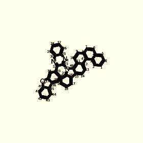 c1ccc2c(c1)ccc1ccc3c(ccc4c5ccccc5n(-c5nc6ccccc6nc5-c5ccc6c(c5)oc5ccccc56)c34)c12